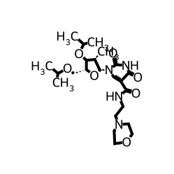 CC(C)OC[C@H]1O[C@@H](n2cc(C(=O)NCCN3CCOCC3)c(=O)[nH]c2=O)[C@@H](C)C1OC(C)C